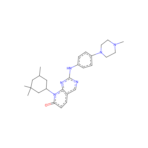 CC1CC(n2c(=O)ccc3cnc(Nc4ccc(N5CCN(C)CC5)cc4)nc32)CC(C)(C)C1